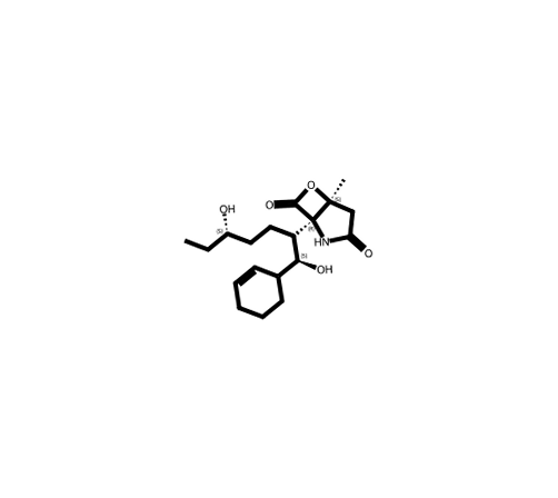 CC[C@H](O)CCC([C@@H](O)C1C=CCCC1)[C@@]12NC(=O)C[C@]1(C)OC2=O